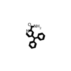 NC(=O)c1cc(C(c2ccccc2)c2ccccc2)ccn1